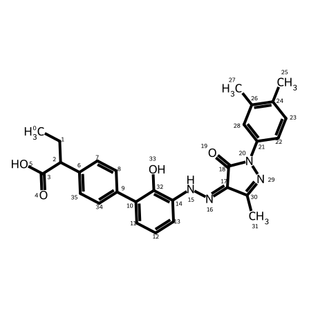 CCC(C(=O)O)c1ccc(-c2cccc(NN=C3C(=O)N(c4ccc(C)c(C)c4)N=C3C)c2O)cc1